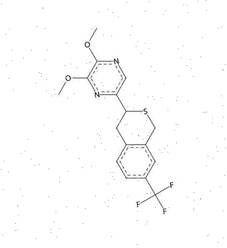 COc1ncc(C2Cc3ccc(C(F)(F)F)cc3CS2)nc1OC